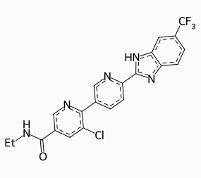 CCNC(=O)c1cnc(-c2ccc(-c3nc4ccc(C(F)(F)F)cc4[nH]3)nc2)c(Cl)c1